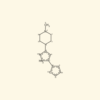 CN1CCC(c2cc(-c3ccco3)[nH]n2)CC1